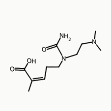 CC(=CCCN(CCN(C)C)C(N)=O)C(=O)O